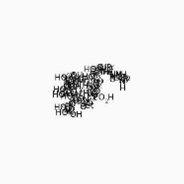 CCC(=O)[C@@H](NC(=O)[C@H](CC(=O)O)CC(=O)[C@@H]1CCCN1C(=O)[C@H](C)NC(=O)[C@H](CO)CC(=O)[C@@H](NC(=O)[C@@H](CC(=O)CNC(=O)[C@@H](N)Cc1cnc[nH]1)C(C)C)C(C)O)C(C)O[C@H]1OC(CO[C@@H]2OC(CO)[C@@H](O)[C@H](O)C2C)[C@H](O)[C@H](O[C@@H]2OC(CO)[C@H](O)[C@H](O[C@]3(C(=O)O)C[C@@H](O)[C@@H](C)C([C@H](O)[C@H](O)CO)O3)C2O)C1C